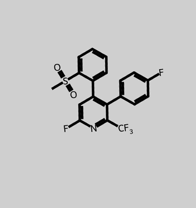 CS(=O)(=O)c1ccccc1-c1cc(F)nc(C(F)(F)F)c1-c1ccc(F)cc1